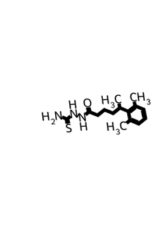 Cc1cccc(C)c1C(C)CCCC(=O)NNC(N)=S